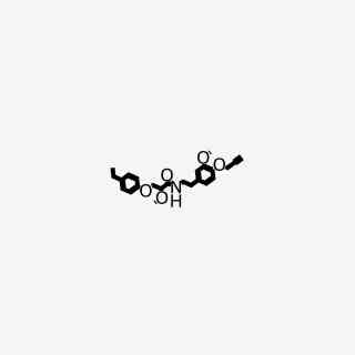 C#CCOc1ccc(CCNC(=O)C(COc2ccc(CC)cc2)OC)cc1OC